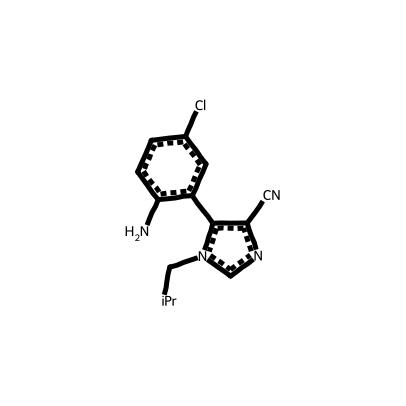 CC(C)Cn1cnc(C#N)c1-c1cc(Cl)ccc1N